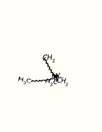 CCCCCCCCCCCCCCc1n(C(C)C)cc[n+]1CCCCCCCCCCCC